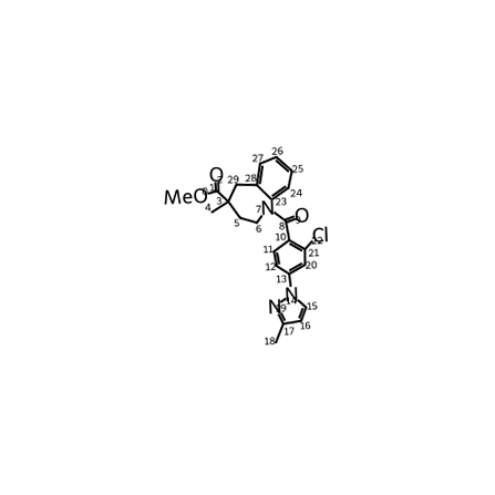 COC(=O)C1(C)CCN(C(=O)c2ccc(-n3ccc(C)n3)cc2Cl)c2ccccc2C1